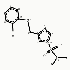 CN(C)S(=O)(=O)n1cnc(COc2ccccc2I)c1